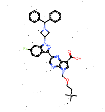 C[Si](C)(C)CCOCn1cc(C(=O)O)c2nc(-c3nn(C4CN(C(c5ccccc5)c5ccccc5)C4)c4cc(F)ccc34)cnc21